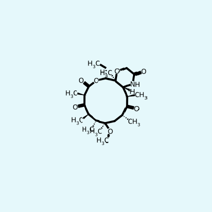 CC[C@H]1OC(=O)[C@H](C)C(=O)[C@H](C)[C@@H](C)[C@](C)(OC)C[C@@H](C)C(=O)[C@H](C)[C@H]2NC(=O)CO[C@@]21C